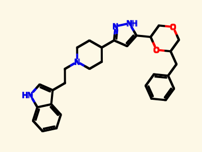 c1ccc(CC2COCC(c3cc(C4CCN(CCc5c[nH]c6ccccc56)CC4)n[nH]3)O2)cc1